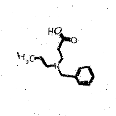 CCCN(CCC(=O)O)Cc1ccccc1